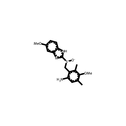 COc1ccc2[nH]c([S+]([O-])Cc3c(N)cc(C)c(OC)c3C)nc2c1